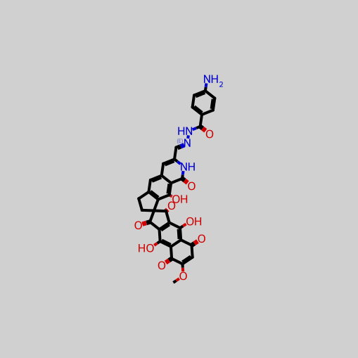 COC1=CC(=O)c2c(O)c3c(c(O)c2C1=O)C(=O)C1(CCc2cc4cc(/C=N/NC(=O)c5ccc(N)cc5)[nH]c(=O)c4c(O)c21)C3=O